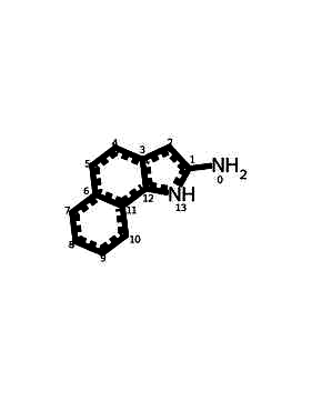 Nc1cc2ccc3ccccc3c2[nH]1